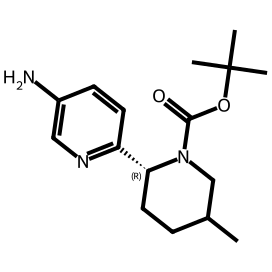 CC1CC[C@H](c2ccc(N)cn2)N(C(=O)OC(C)(C)C)C1